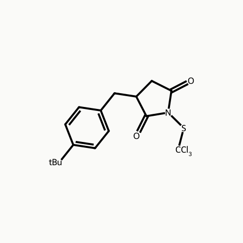 CC(C)(C)c1ccc(CC2CC(=O)N(SC(Cl)(Cl)Cl)C2=O)cc1